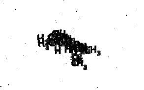 Cc1ccc(C(NC(=O)c2ccc3cnc(N[C@H](C)C(C)(C)O)cc3n2)c2cnn(C)c2)cc1F